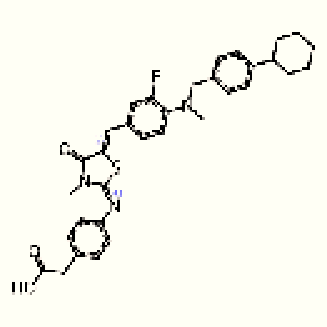 CN1C(=O)/C(=C/c2ccc(N(C)Cc3ccc(C4CCCCC4)cc3)c(F)c2)S/C1=N/c1ccc(CC(=O)O)cc1